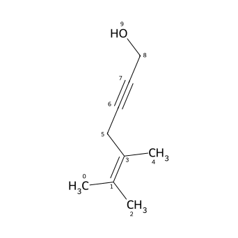 CC(C)=C(C)CC#CCO